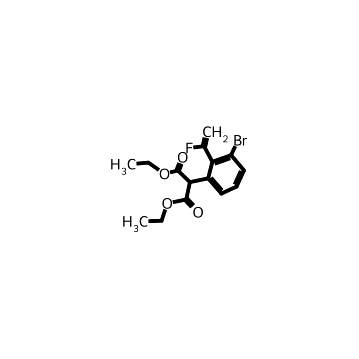 C=C(F)c1c(Br)cccc1C(C(=O)OCC)C(=O)OCC